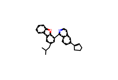 CC(C)Cc1cc(-c2nccc3cc(C4=CCCC4)ccc23)c2oc3ccccc3c2c1